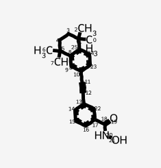 CC1(C)CCC(C)(C)c2cc(C#Cc3cccc(C(=O)NO)c3)ccc21